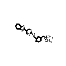 CN(C)Cc1cccc(COc2n[c]c(-c3nc4ccccc4s3)cn2)c1